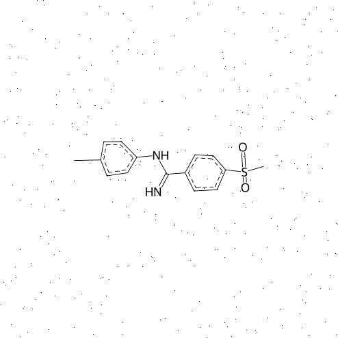 Cc1ccc(NC(=N)c2ccc(S(C)(=O)=O)cc2)cc1